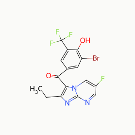 CCc1nc2ncc(F)cn2c1C(=O)c1cc(Br)c(O)c(C(F)(F)F)c1